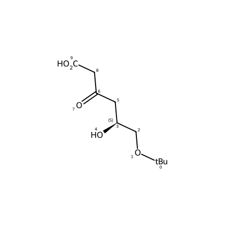 CC(C)(C)OC[C@@H](O)CC(=O)CC(=O)O